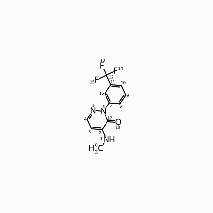 CNc1ccnn(-c2cccc(C(F)(F)F)c2)c1=O